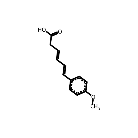 COc1ccc(/C=C/C=C/CC(=O)O)cc1